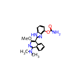 COc1nc(N(C)C)c2ccccc2c1-c1nc2c(OC(N)=O)cccc2[nH]1